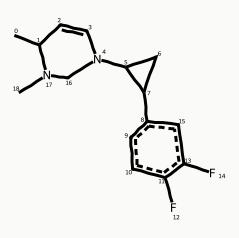 CC1C=CN(C2CC2c2ccc(F)c(F)c2)CN1C